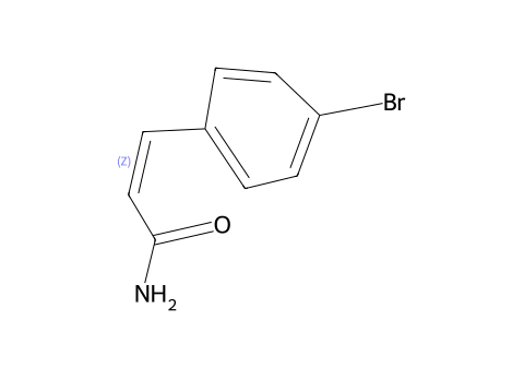 NC(=O)/C=C\c1ccc(Br)cc1